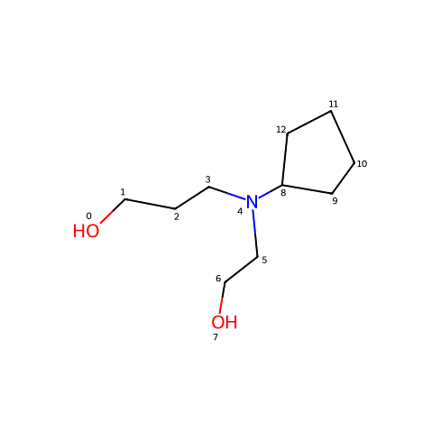 OCCCN(CCO)C1CCCC1